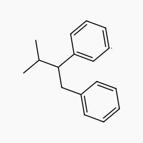 CC(C)C(Cc1ccccc1)c1c[c]ccc1